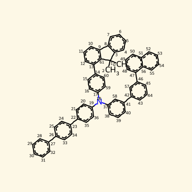 CC1(C)c2ccccc2-c2cccc(-c3ccc(N(c4ccc(-c5ccc(-c6ccccc6)cc5)cc4)c4cccc(-c5cccc(-c6cccc7ccccc67)c5)c4)cc3)c21